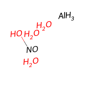 O.O.O.O=NO.[AlH3]